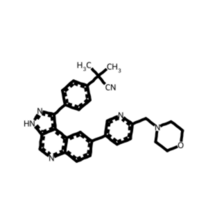 CC(C)(C#N)c1ccc(-c2n[nH]c3cnc4ccc(-c5ccc(CN6CCOCC6)nc5)cc4c23)cc1